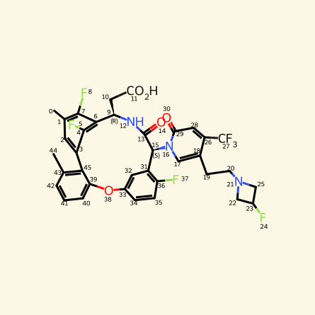 Cc1cc2c(F)c(c1F)[C@@H](CC(=O)O)NC(=O)[C@@H](n1cc(CCN3CC(F)C3)c(C(F)(F)F)cc1=O)c1cc(ccc1F)Oc1cccc(C)c1-2